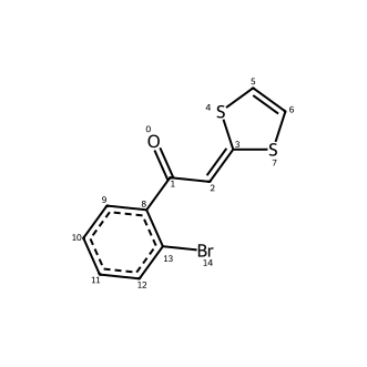 O=C(C=C1SC=CS1)c1ccccc1Br